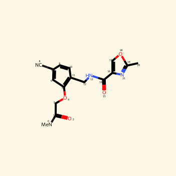 CNC(=O)COc1cc(C#N)ccc1CNC(=O)c1coc(C)n1